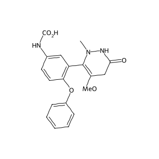 COC1=C(c2cc(NC(=O)O)ccc2Oc2ccccc2)N(C)NC(=O)C1